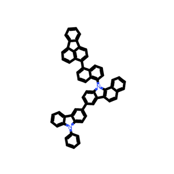 c1ccc(-n2c3ccccc3c3cc(-c4ccc5c(c4)c4ccc6ccccc6c4n5-c4cccc5c(-c6ccc7c8c(cccc68)-c6ccccc6-7)cccc45)ccc32)cc1